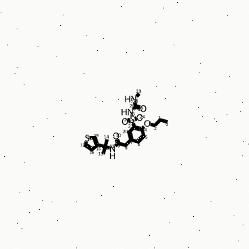 CCCOc1ccc(CC(=O)NC(C)(C)c2ccsc2)cc1S(=O)(=O)NC(=O)NC